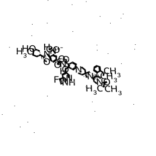 CC(C)C(=O)N1CC[C@@H](N2CC3(CCN(c4ccc(C(=O)NS(=O)(=O)c5cc6c(c([N+](=O)[O-])c5)N[C@@H]([C@H]5CC[C@](C)(O)CC5)CO6)c(Oc5cnc6[nH]cc(F)c6c5)c4)CC3)C2)[C@@H](c2ccccc2C(C)C)C1